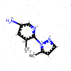 N#Cc1ccnn1-c1ncc(N)cc1C(F)(F)F